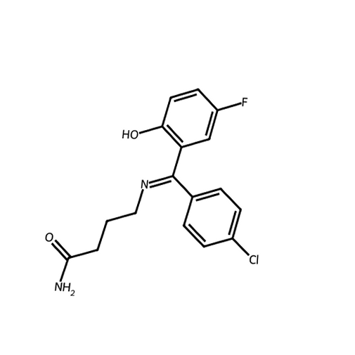 NC(=O)CCC/N=C(\c1ccc(Cl)cc1)c1cc(F)ccc1O